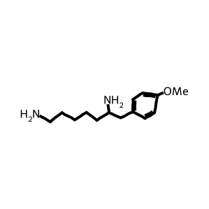 COc1ccc(CC(N)CCCCCN)cc1